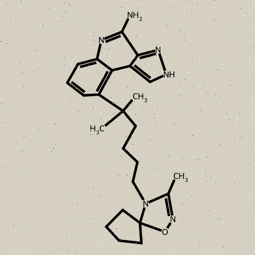 CC1=NOC2(CCCC2)N1CCCCC(C)(C)c1cccc2nc(N)c3n[nH]cc3c12